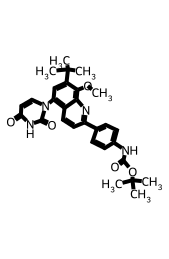 COc1c(C(C)(C)C)cc(-n2ccc(=O)[nH]c2=O)c2ccc(-c3ccc(NC(=O)OC(C)(C)C)cc3)nc12